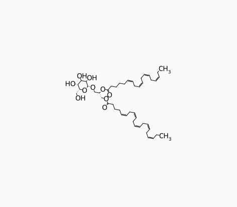 CC/C=C\C/C=C\C/C=C\C/C=C\C/C=C\CCCC(=O)OC[C@H](CO[C@@H]1O[C@H](CO)[C@H](O)C(O)C1O)OC(=O)CCCC/C=C\C/C=C\C/C=C\C/C=C\CC